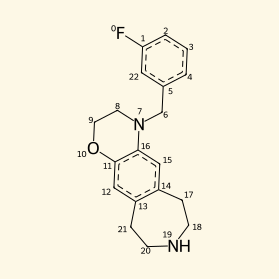 Fc1cccc(CN2CCOc3cc4c(cc32)CCNCC4)c1